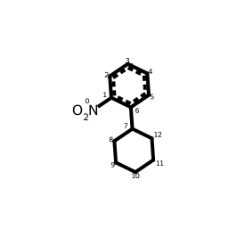 O=[N+]([O-])c1c[c]ccc1C1CCCCC1